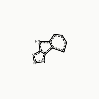 c1ccc2c(c1)[nH]c1snnc12